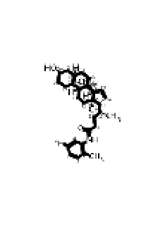 Cc1ccc(F)cc1NC(=O)CC[C@@H](C)[C@H]1CC[C@H]2[C@@H]3CC[C@@H]4C[C@H](O)CC[C@]4(C)[C@H]3CC[C@]12C